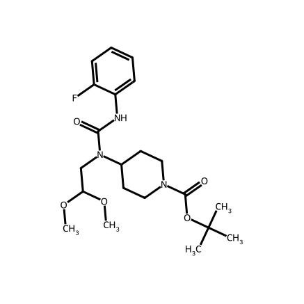 COC(CN(C(=O)Nc1ccccc1F)C1CCN(C(=O)OC(C)(C)C)CC1)OC